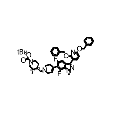 C[C@H]1CN(C(=O)OC(C)(C)C)CC[C@H]1CN1CC=C(c2c(F)cc3c(-c4ccc(OCc5ccccc5)nc4OCc4ccccc4)nn(C)c3c2F)CC1